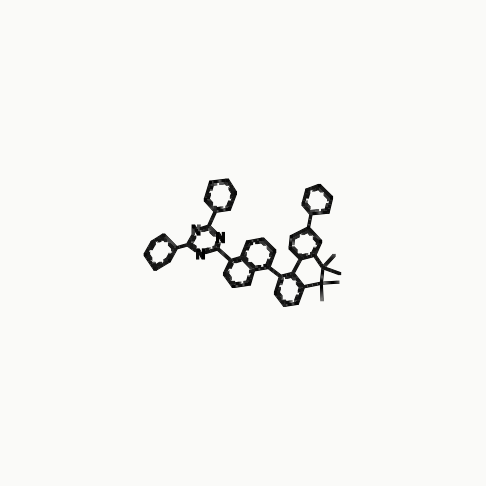 CC1(C)c2cc(-c3ccccc3)ccc2-c2c(-c3cccc4c(-c5nc(-c6ccccc6)nc(-c6ccccc6)n5)cccc34)cccc2C1(C)C